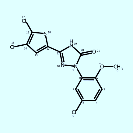 COc1ccc(Cl)cc1-n1nc(-c2cc(Cl)c(Cl)s2)[nH]c1=O